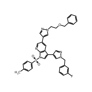 Cc1ccc(S(=O)(=O)n2cc(-c3cnn(Cc4cccc(F)c4)c3)c3cc(-c4cnn(CCOCc5ccccc5)c4)cnc32)cc1